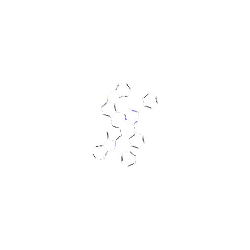 c1ccc(-c2nc(-c3ccccc3)nc(-c3c(-c4ccc5c(c4)c4ccccc4n5-c4ccccc4)ccc4sc5ccccc5c34)n2)cc1